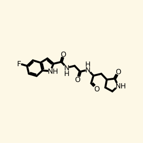 O=CC(CC1CCNC1=O)NC(=O)CNC(=O)c1cc2cc(F)ccc2[nH]1